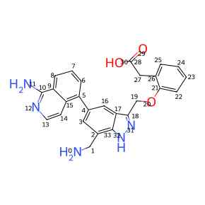 NCc1cc(-c2cccc3c(N)nccc23)cc2c(COc3ccccc3CC(=O)O)n[nH]c12